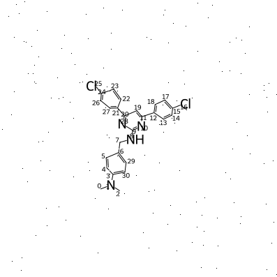 CN(C)c1ccc(CNc2nc(-c3ccc(Cl)cc3)cc(-c3ccc(Cl)cc3)n2)cc1